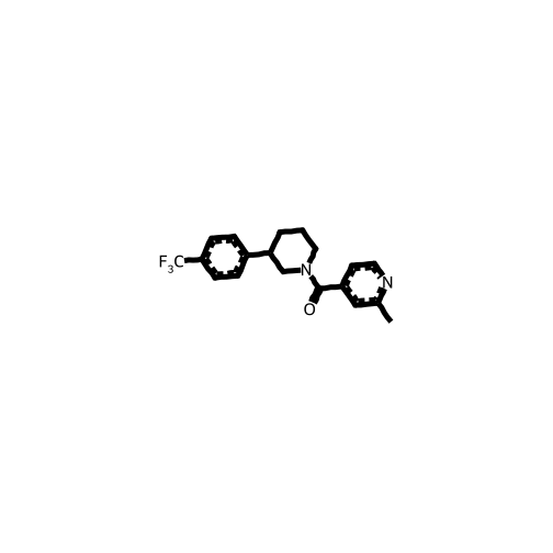 Cc1cc(C(=O)N2CCCC(c3ccc(C(F)(F)F)cc3)C2)ccn1